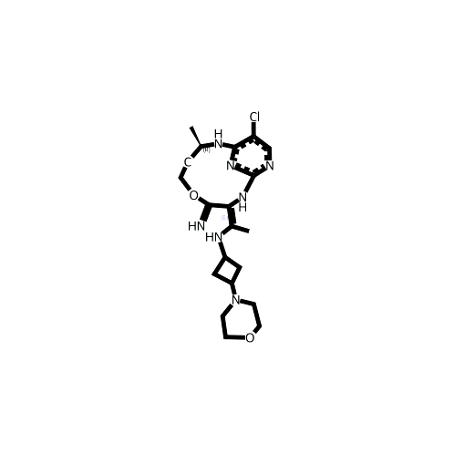 C/C(NC1CC(N2CCOCC2)C1)=C1\Nc2ncc(Cl)c(n2)N[C@H](C)CCOC1=N